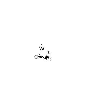 Cl[SiH2]Cl.[W]